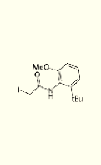 COc1cccc(C(C)(C)C)c1NC(=O)CI